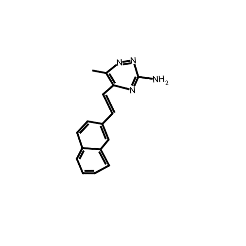 Cc1nnc(N)nc1/C=C/c1ccc2ccccc2c1